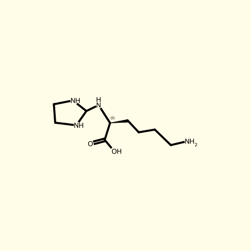 NCCCC[C@H](NC1NCCN1)C(=O)O